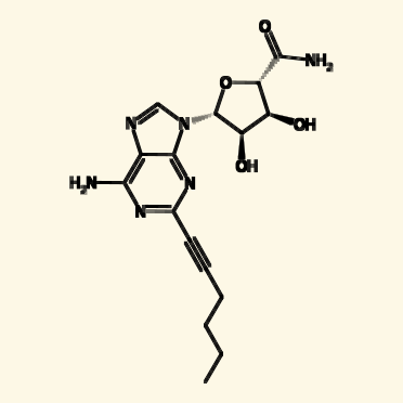 CCCCC#Cc1nc(N)c2ncn([C@@H]3O[C@H](C(N)=O)[C@@H](O)[C@H]3O)c2n1